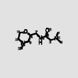 CN(C)CC(=O)NCC1CN(C)CCO1